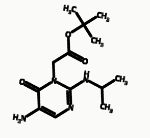 CC(C)Nc1ncc(N)c(=O)n1CC(=O)OC(C)(C)C